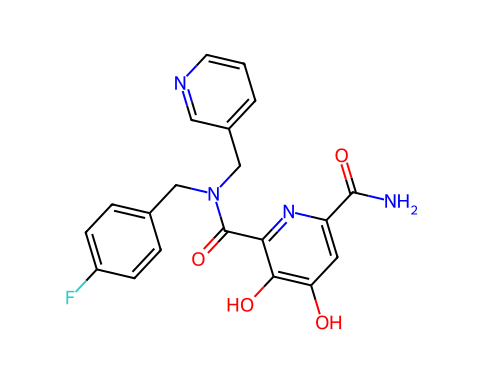 NC(=O)c1cc(O)c(O)c(C(=O)N(Cc2ccc(F)cc2)Cc2cccnc2)n1